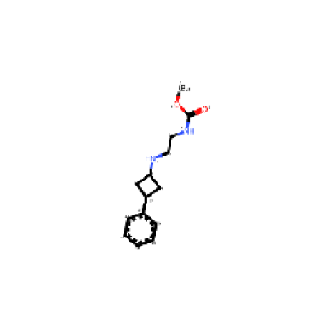 CC(C)(C)OC(=O)NCCNC1CC(c2ccccc2)C1